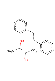 O=C(O)C(O)C(O)C(=O)O.c1ccc(CCc2ccccc2)cc1